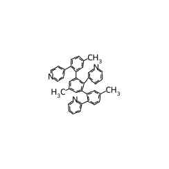 Cc1ccc(-c2ccncc2)c(-c2cc(C)cc(-c3cc(C)ccc3-c3ccccn3)c2-c2cccnc2)c1